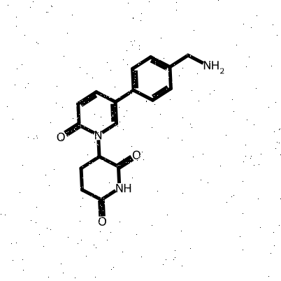 NCc1ccc(-c2ccc(=O)n(C3CCC(=O)NC3=O)c2)cc1